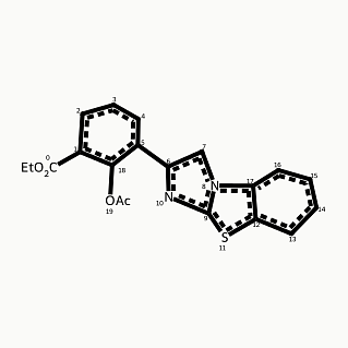 CCOC(=O)c1cccc(-c2cn3c(n2)sc2ccccc23)c1OC(C)=O